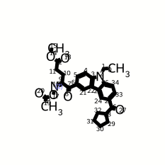 CCn1c2ccc(C(=O)/C(CCC(=O)OC)=N\OC(C)=O)cc2c2cc(C(=O)C3CCCC3)ccc21